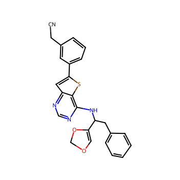 N#CCc1cccc(-c2cc3ncnc(NC(Cc4ccccc4)C4=COCO4)c3s2)c1